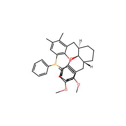 COc1cc(C)c2c(c1OC)C[C@H]1CCC[C@@H]3Cc4c(C)c(C)cc(P(c5ccccc5)c5ccccc5)c4O[C@]13O2